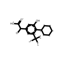 O=C(O)C(Cl)c1cc(O)c(C2CCCCC2)c(C(F)(F)F)c1